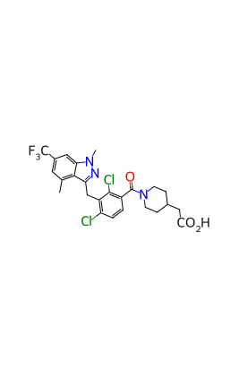 Cc1cc(C(F)(F)F)cc2c1c(Cc1c(Cl)ccc(C(=O)N3CCC(CC(=O)O)CC3)c1Cl)nn2C